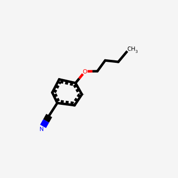 CCCCOc1[c]cc(C#N)cc1